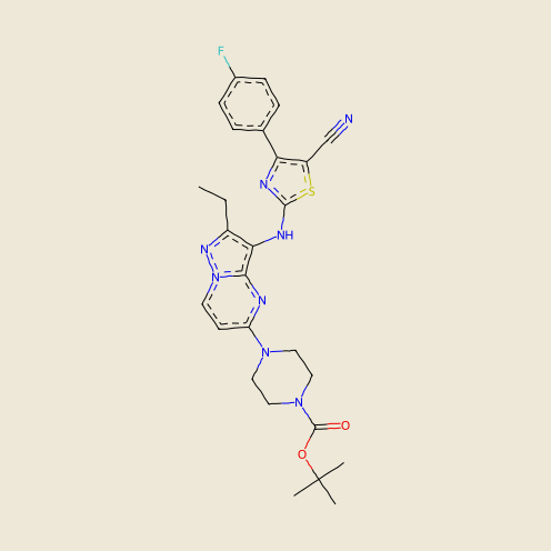 CCc1nn2ccc(N3CCN(C(=O)OC(C)(C)C)CC3)nc2c1Nc1nc(-c2ccc(F)cc2)c(C#N)s1